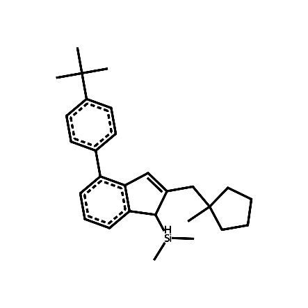 C[SiH](C)C1C(CC2(C)CCCC2)=Cc2c(-c3ccc(C(C)(C)C)cc3)cccc21